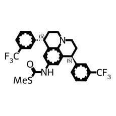 CSC(=O)Nc1cc2c3c(c1)[C@H](c1cccc(C(F)(F)F)c1)CCN3CC[C@H]2c1cccc(C(F)(F)F)c1